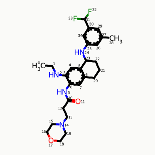 CCNc1cc2c(cc1NC(=O)CCN1CCOCC1)CCCC2Nc1cc(C)cc(C(F)F)c1